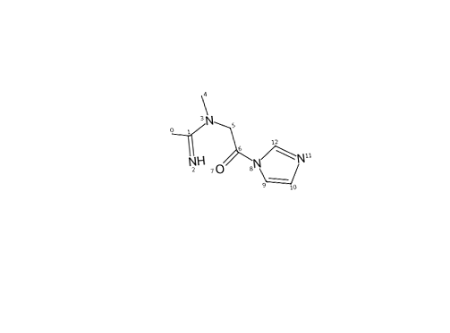 CC(=N)N(C)CC(=O)n1ccnc1